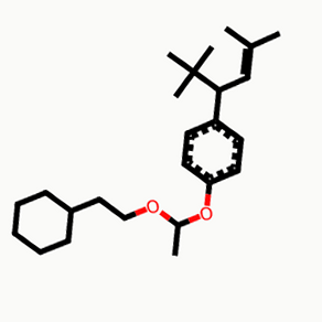 CC(C)=CC(c1ccc(OC(C)OCCC2CCCCC2)cc1)C(C)(C)C